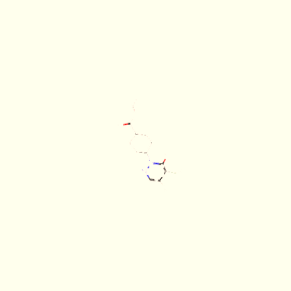 CCOC(=O)C1CCC(n2ncc(Cl)c(Cl)c2=O)CC1